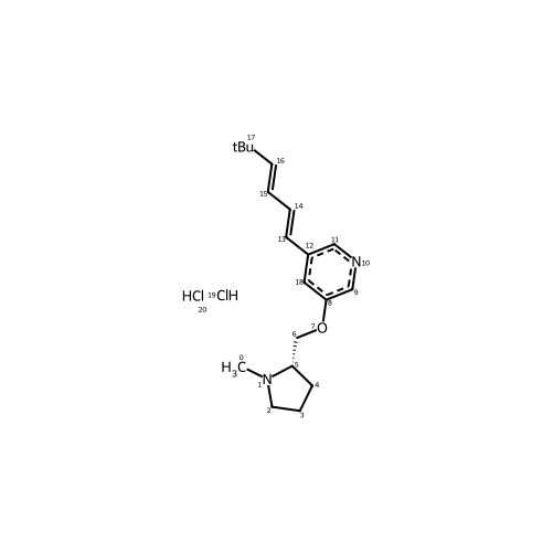 CN1CCC[C@H]1COc1cncc(/C=C/C=C/C(C)(C)C)c1.Cl.Cl